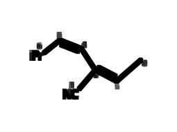 C/C=C(C#N)\C=C/C(C)C